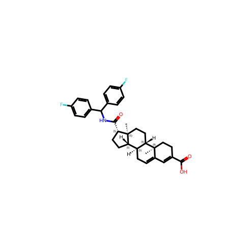 C[C@]12CC[C@H]3[C@@H](CC=C4C=C(C(=O)O)CC[C@@]43C)[C@@H]1CC[C@@H]2C(=O)NC(c1ccc(F)cc1)c1ccc(F)cc1